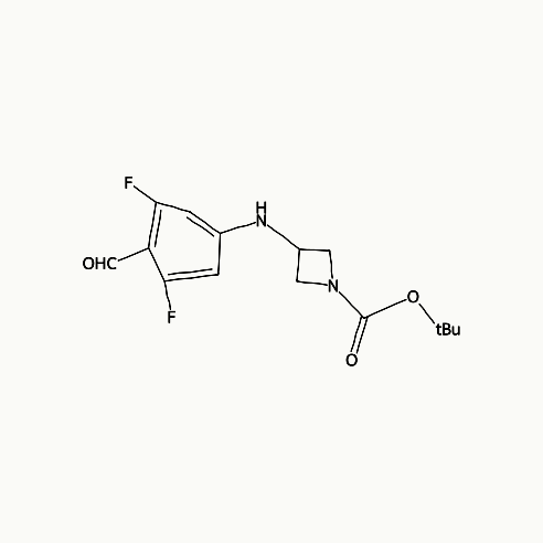 CC(C)(C)OC(=O)N1CC(Nc2cc(F)c(C=O)c(F)c2)C1